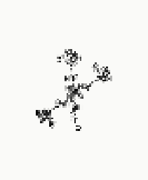 CC(=O)NC1C(OCCCCCC(=O)NCCCNC(=O)CN(C(C=O)NCCCNC(=O)CCCCCOC2OC(COC(C)=O)C(OC(C)=O)C(OC(C)=O)C2NC(C)=O)C(CCCCNC(=O)CCCC(=O)OCc2ccccc2)C(=O)NCCCNC(=O)CCCCCOC2OC(COC(C)=O)C(OC(C)=O)C(OC(C)=O)C2NC(C)=O)OC(COC(C)=O)C(OC(C)=O)C1OC(C)=O